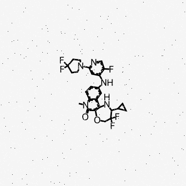 Cn1c(=O)c2c(c3cc(Nc4cc(N5CCC(F)(F)CC5)ncc4F)ccc31)NC(C1CC1)C(F)(F)CO2